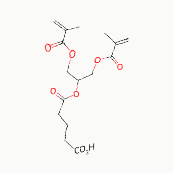 C=C(C)C(=O)OCC(COC(=O)C(=C)C)OC(=O)CCCC(=O)O